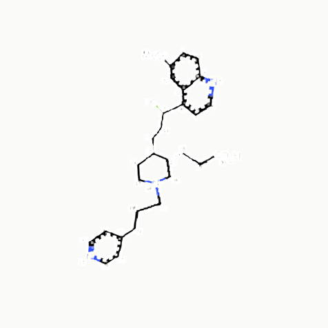 COc1ccc2nccc([C@H](F)CC[C@@H]3CCN(CCCc4ccncc4)C[C@H]3CCC(=O)O)c2c1